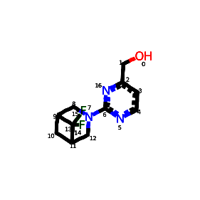 OCc1ccnc(N2CC3CC(C2)C3(F)F)n1